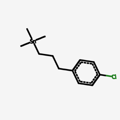 [CH3][Sn]([CH3])([CH3])[CH2]CCc1ccc(Cl)cc1